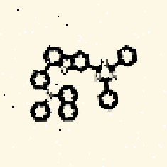 c1ccc(-c2nc(-c3ccccc3)nc(-c3ccc4c(c3)oc3c(-c5cccc(N(c6ccccc6)c6cccc7ccccc67)c5)cccc34)n2)cc1